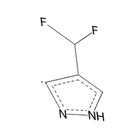 FC(F)c1[c]n[nH]c1